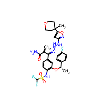 C=C(C(N)=O)/C(=N\NNc1cc(C2(C)CCOCC2)on1)c1ccc(NS(=O)(=O)C(F)F)c(O[C@@H](C)c2ccc(F)cc2)c1